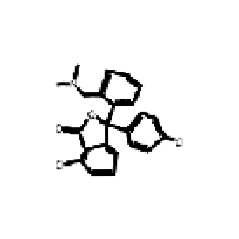 CN(C)Cc1ccccc1C1(c2ccc(Cl)cc2)OC(=O)c2c(Cl)cccc21